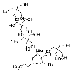 CC(C)(C)c1cc(CCC(=O)O)cc(C(C)(C)C)c1O.OCC(CO)(CO)CO.OCC(CO)(CO)CO.OCC(CO)(CO)CO.OCC(CO)(CO)CO